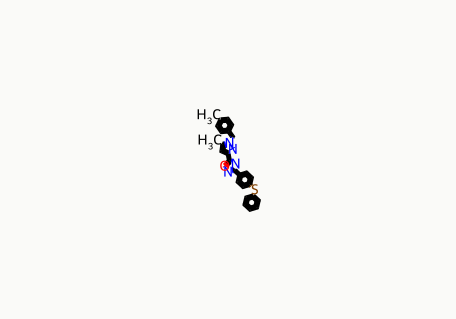 Cc1ccc(Cn2nc(-c3nc(-c4ccc(Sc5ccccc5)cc4)no3)cc2C)cc1